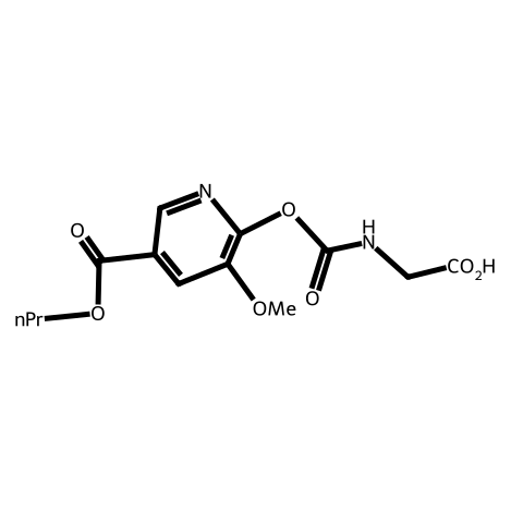 CCCOC(=O)c1cnc(OC(=O)NCC(=O)O)c(OC)c1